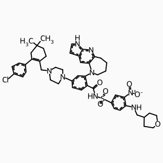 CC1(C)CCC(CN2CCN(c3ccc(C(=O)NS(=O)(=O)c4ccc(NCC5CCOCC5)c([N+](=O)[O-])c4)c(N4CCCCc5nc6[nH]ccc6cc54)c3)CC2)=C(c2ccc(Cl)cc2)C1